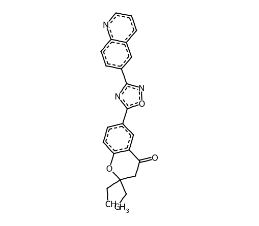 CCC1(CC)CC(=O)c2cc(-c3nc(-c4ccc5ncccc5c4)no3)ccc2O1